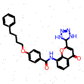 O=C(Nc1cccc2c(=O)cc(C3NN=NN3)oc12)c1ccc(OCCCCc2ccccc2)cc1